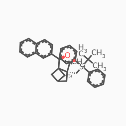 C=C[C@@]1(C[Si](c2ccccc2)(c2ccccc2)C(C)(C)C)CC2CC1(C(=O)c1ccc3ccccc3c1)C2